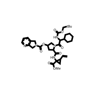 C=CC1CC1(NC(=O)C1CC(OC(=O)N2Cc3cccnc3C2)CN1C(=O)C(NC(=O)OCC(C)(C)C)C1CCCCC1)C(=O)OC